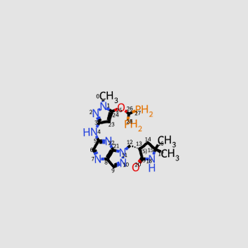 Cn1nc(Nc2cnc3cnn(C[C@@H]4CC(C)(C)NC4=O)c3n2)cc1OC(P)P